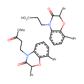 CC(C)c1cccc2c1OC(C(C)C)C(=O)N2CCC(=O)O.COC(=O)CCN1C(=O)C(C(C)C)Oc2c(C(C)C)cccc21